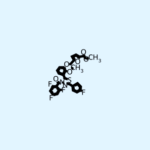 COC(=O)c1ccc(COc2cccc(C3SC(c4ccc(F)cc4)=NN3C(=O)c3c(F)cc(F)cc3F)c2OC)o1